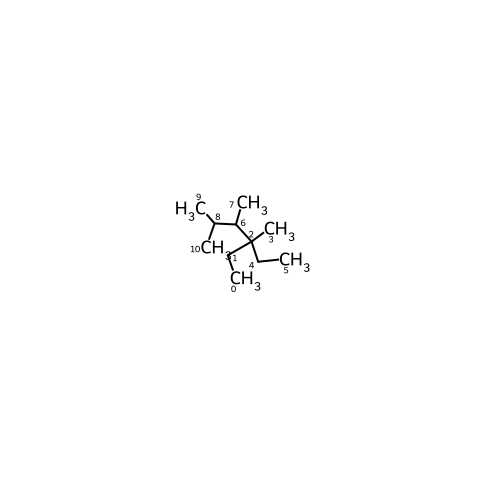 CCC(C)(CC)C(C)C(C)C